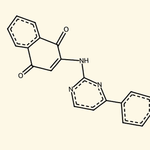 O=C1C=C(Nc2nccc(-c3ccccc3)n2)C(=O)c2ccccc21